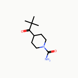 CC(C)(C)C(=O)C1CCN(C(N)=O)CC1